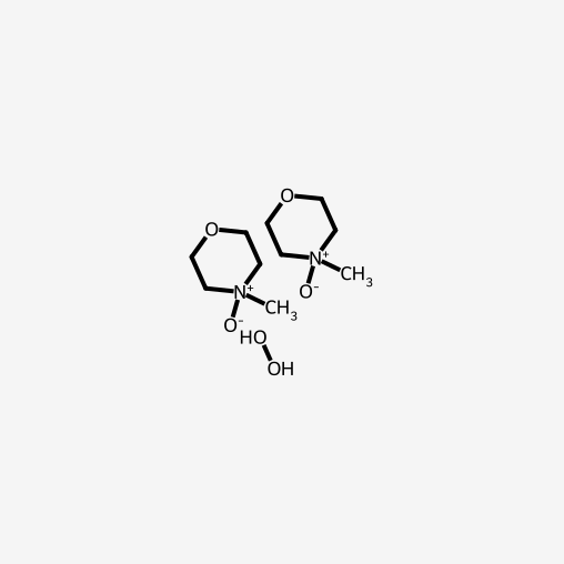 C[N+]1([O-])CCOCC1.C[N+]1([O-])CCOCC1.OO